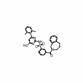 Cc1cccc(C)c1-c1cc(O)nc(NS(=O)(=O)c2cccc(C(=O)N3CCCc4ccccc4C3)c2)n1